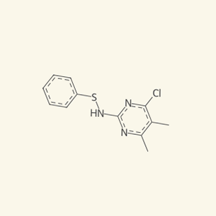 Cc1nc(NSc2ccccc2)nc(Cl)c1C